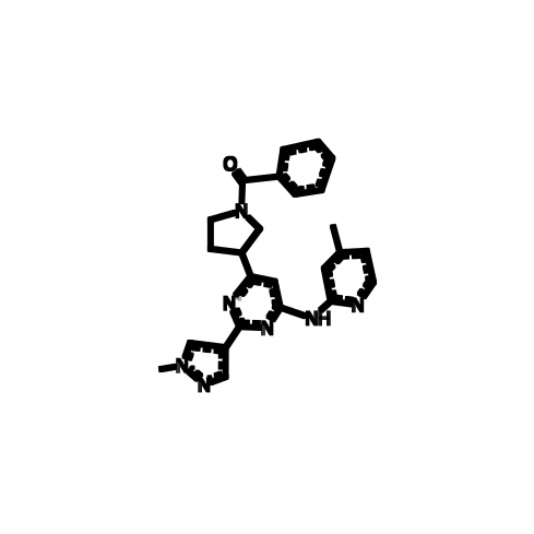 Cc1ccnc(Nc2cc(C3CCN(C(=O)c4ccccc4)C3)nc(-c3cnn(C)c3)n2)c1